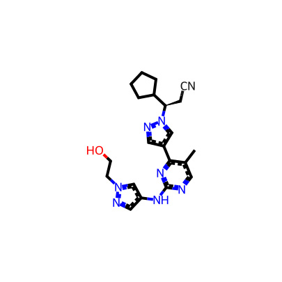 Cc1cnc(Nc2cnn(CCO)c2)nc1-c1cnn([C@H](CC#N)C2CCCC2)c1